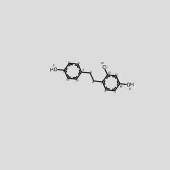 Oc1ccc(CCc2ccc(O)cc2Cl)cc1